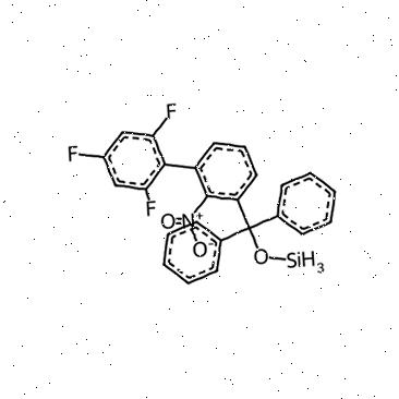 O=[N+]([O-])c1c(-c2c(F)cc(F)cc2F)cccc1C(O[SiH3])(c1ccccc1)c1ccccc1